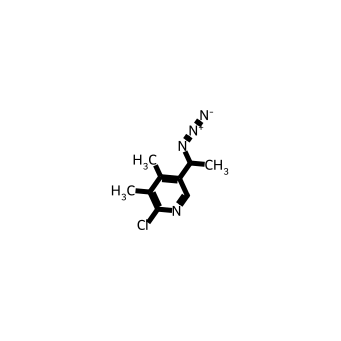 Cc1c(C(C)N=[N+]=[N-])cnc(Cl)c1C